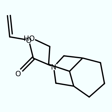 C=COC(=O)N1CC2CCCC(C1)C2CCO